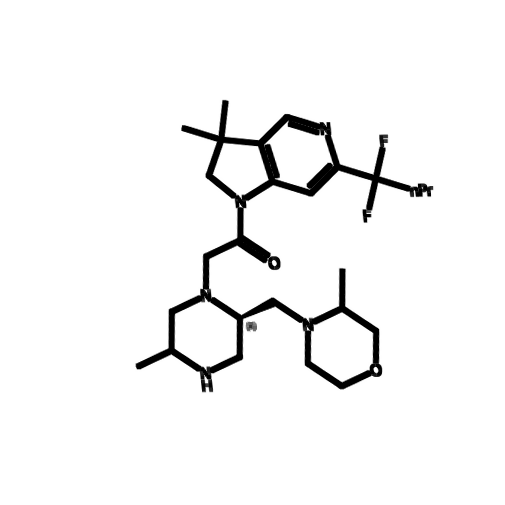 CCCC(F)(F)c1cc2c(cn1)C(C)(C)CN2C(=O)CN1CC(C)NC[C@@H]1CN1CCOCC1C